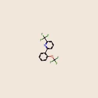 FC(F)(F)Oc1ccccc1-c1cccc(C(F)(F)F)n1